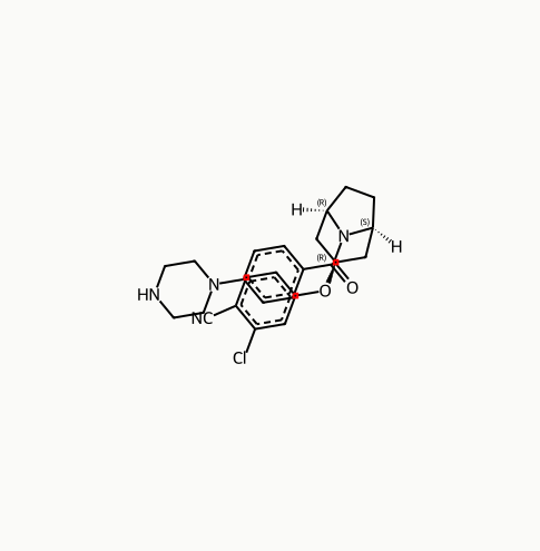 N#Cc1ccc(O[C@H]2C[C@H]3CC[C@@H](C2)N3C(=O)c2ccc(N3CCNCC3)cc2)cc1Cl